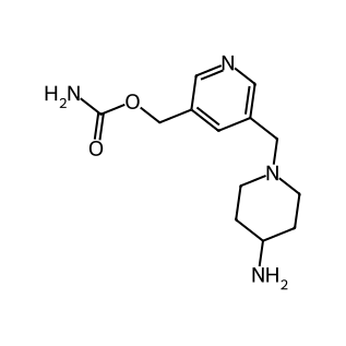 NC(=O)OCc1cncc(CN2CCC(N)CC2)c1